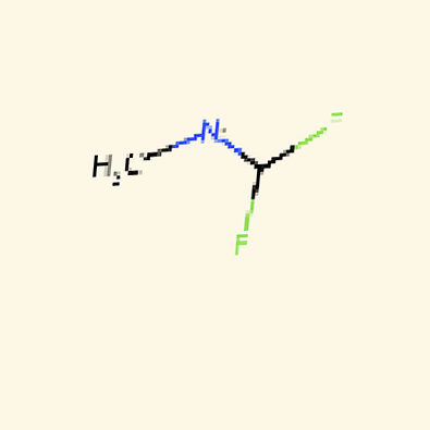 C[N]C(F)F